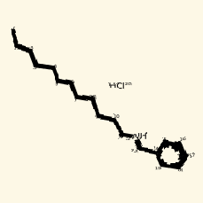 CCCCCCCCCCCCNCc1ccccc1.Cl